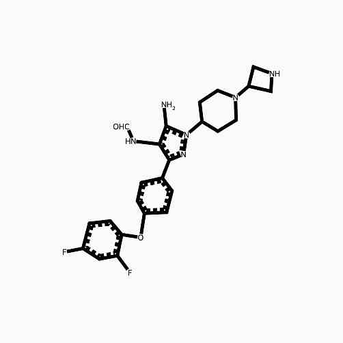 Nc1c(NC=O)c(-c2ccc(Oc3ccc(F)cc3F)cc2)nn1C1CCN(C2CNC2)CC1